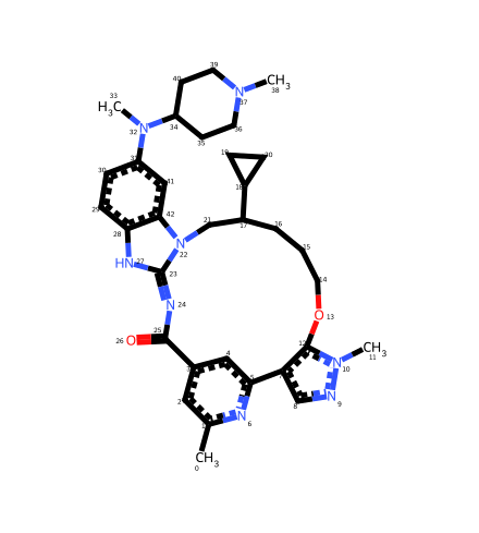 Cc1cc2cc(n1)-c1cnn(C)c1OCCCC(C1CC1)CN1/C(=N/C2=O)Nc2ccc(N(C)C3CCN(C)CC3)cc21